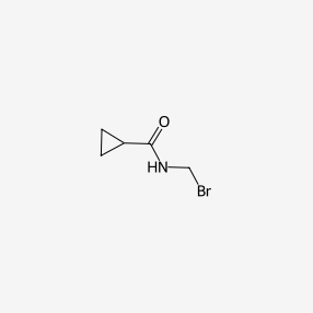 O=C(NCBr)C1CC1